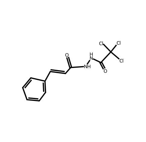 O=C(C=Cc1ccccc1)NNC(=O)C(Cl)(Cl)Cl